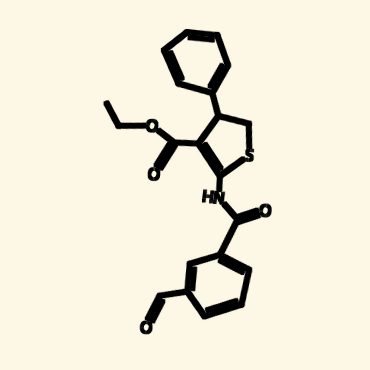 CCOC(=O)C1=C(NC(=O)c2cccc(C=O)c2)SCC1c1ccccc1